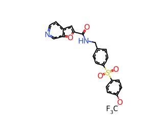 O=C(NCc1ccc(S(=O)(=O)c2ccc(OC(F)(F)F)cc2)cc1)c1cc2ccncc2o1